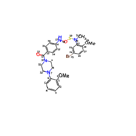 COc1ccccc1N1CCN(C(=O)c2ccc(NOSN(C)c3cc(Br)ccc3OC)cc2)CC1